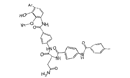 CC(=O)c1ccc(NC(=O)c2ccc(NC(=O)C(CC(N)=O)NC(=O)c3ccc(NC(=O)c4ccc(C)cc4)cc3)cc2)c(OC(C)C)c1O